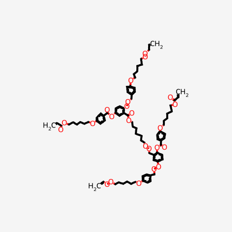 C=CCOOCCCCCCOc1ccc(COOc2ccc(OC(=O)c3ccc(OCCCCCCOC(=O)C=C)cc3)cc2C(=O)OCCCCCCCOOCc2cc(OOCc3ccc(OCCCCCCOOC=C)cc3)ccc2OC(=O)c2ccc(OCCCCCCOC(=O)C=C)cc2)cc1